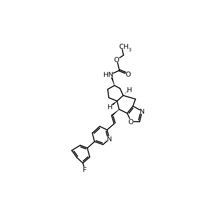 CCOC(=O)N[C@@H]1CC[C@@H]2[C@H](Cc3ncoc3[C@H]2/C=C/c2ccc(-c3cccc(F)c3)cn2)C1